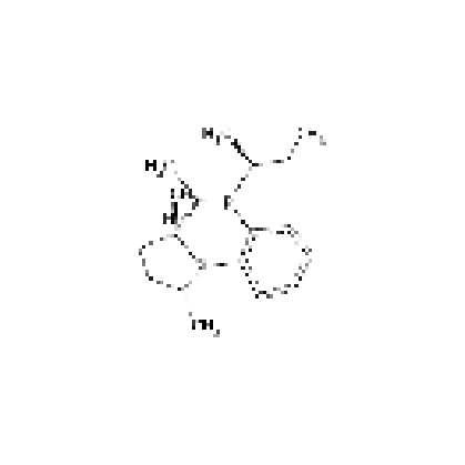 CC[C@H](C)P(c1ccccc1P1[C@H](C)CC[C@H]1C)C(C)C